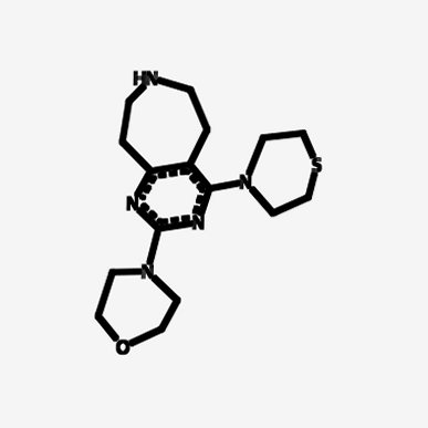 C1Cc2nc(N3CCOCC3)nc(N3CCSCC3)c2CCN1